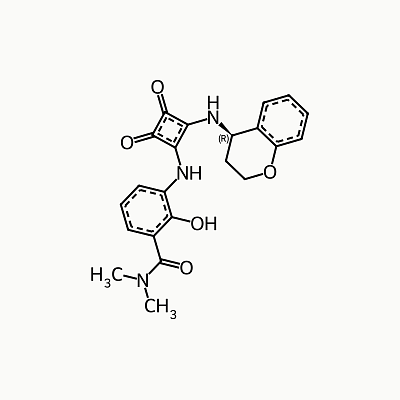 CN(C)C(=O)c1cccc(Nc2c(N[C@@H]3CCOc4ccccc43)c(=O)c2=O)c1O